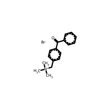 C[N+](C)(C)Cc1ccc(C(=O)c2ccccc2)cc1.[Br-]